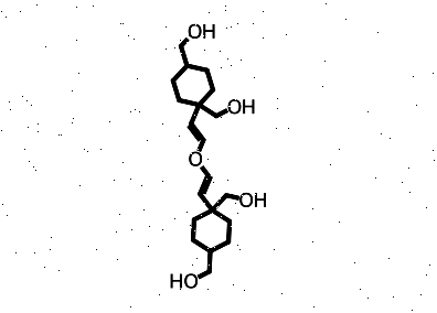 OCC1CCC(C=COC=CC2(CO)CCC(CO)CC2)(CO)CC1